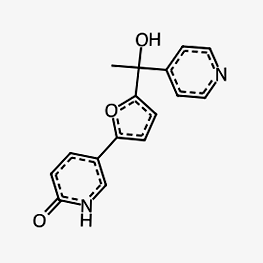 CC(O)(c1ccncc1)c1ccc(-c2ccc(=O)[nH]c2)o1